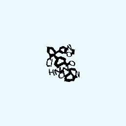 CN1CCOc2cc(-c3cccc(Cl)c3-c3ccc4c(=O)n(-c5cncc6ccccc56)c(=O)[nH]c4c3)ccc21